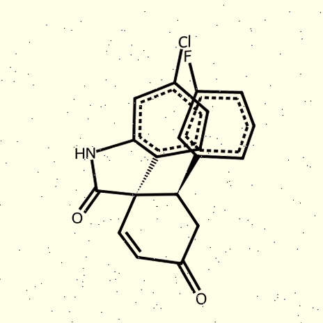 O=C1C=C[C@@]2(C(=O)Nc3cc(Cl)ccc32)[C@@H](c2cccc(F)c2)C1